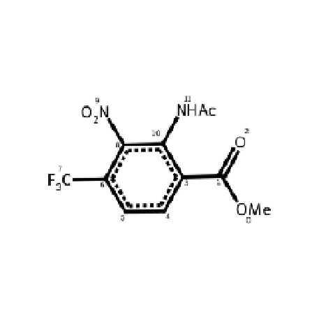 COC(=O)c1ccc(C(F)(F)F)c([N+](=O)[O-])c1NC(C)=O